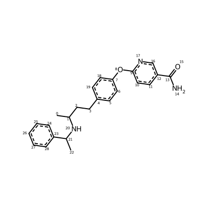 CC(CCc1ccc(Oc2ccc(C(N)=O)cn2)cc1)NC(C)c1ccccc1